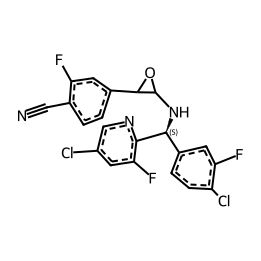 N#Cc1ccc(C2OC2N[C@@H](c2ccc(Cl)c(F)c2)c2ncc(Cl)cc2F)cc1F